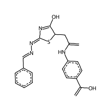 C=C(CC1S/C(=N\N=C\c2ccccc2)N=C1O)Nc1ccc(C(=C)O)cc1